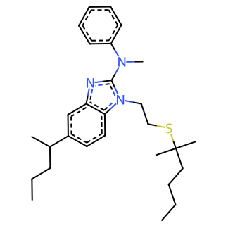 CCCCC(C)(C)SCCn1c(N(C)c2ccccc2)nc2cc(C(C)CCC)ccc21